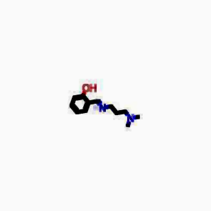 CN(C)CCC/N=C/c1ccccc1O